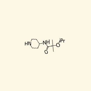 CC(C)OC(C)(C)C(=O)NC1CCNCC1